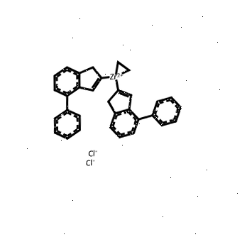 C1=[C]([Zr+2]2([C]3=Cc4c(cccc4-c4ccccc4)C3)[CH2][CH2]2)Cc2cccc(-c3ccccc3)c21.[Cl-].[Cl-]